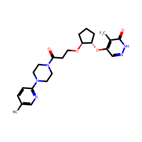 N#Cc1ccc(N2CCN(C(=O)CCO[C@H]3CCC[C@@H]3Oc3cn[nH]c(=O)c3C(F)(F)F)CC2)nc1